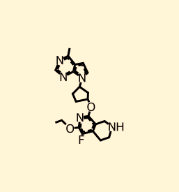 CCOc1nc(OC2CCC(n3ccc4c(C)ncnc43)C2)c2c(c1F)CCNC2